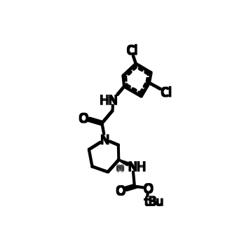 CC(C)(C)OC(=O)N[C@H]1CCCN(C(=O)CNc2cc(Cl)cc(Cl)c2)C1